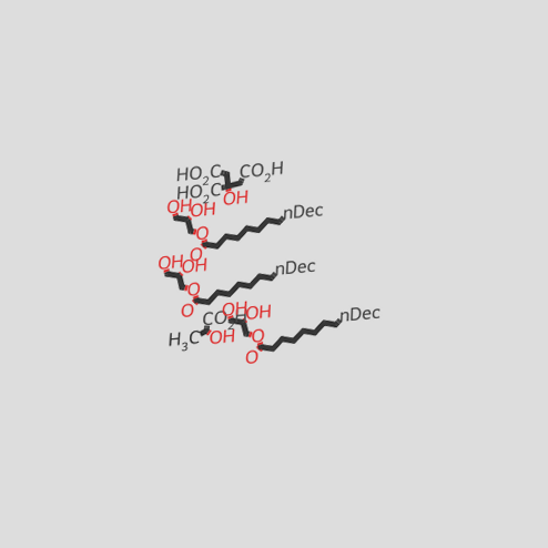 CC(O)C(=O)O.CCCCCCCCCCCCCCCCCC(=O)OCC(O)CO.CCCCCCCCCCCCCCCCCC(=O)OCC(O)CO.CCCCCCCCCCCCCCCCCC(=O)OCC(O)CO.O=C(O)CC(O)(CC(=O)O)C(=O)O